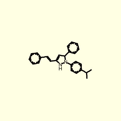 CC(C)c1ccc(N2NC(C=Cc3ccccc3)=CC2c2ccccc2)cc1